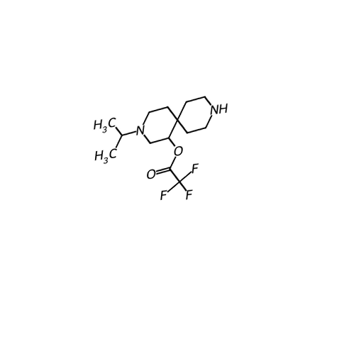 CC(C)N1CCC2(CCNCC2)C(OC(=O)C(F)(F)F)C1